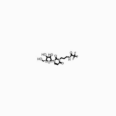 O=C(NCCCn1c(=O)ccn([C@H]2O[C@@H](CO)C(O)C2O)c1=O)C(F)(F)F